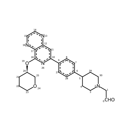 O=CCN1CCC(c2ccc(-c3cc4nccnc4c(O[C@@H]4CCCOC4)n3)cc2)CC1